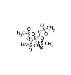 CS(=N)(=O)O[B-](COS(C)(=O)=O)(OS(C)(=O)=O)OS(C)(=O)=O